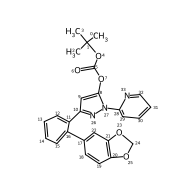 CC(C)(C)OC(=O)Oc1cc(-c2ccccc2-c2ccc3c(c2)OCO3)nn1-c1ccccn1